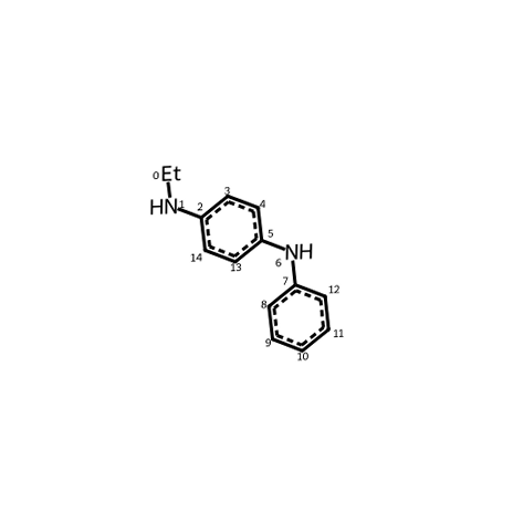 CCNc1ccc(Nc2ccccc2)cc1